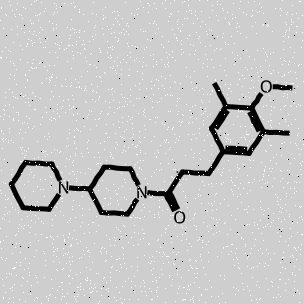 COc1c(C)cc(C[CH]C(=O)N2CCC(N3CCCCC3)CC2)cc1C